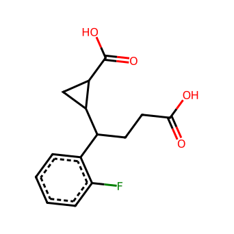 O=C(O)CCC(c1ccccc1F)C1CC1C(=O)O